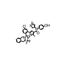 Cc1c(C(=O)N(c2ccc(O)cc2)c2cnn(C)c2)cc(-c2cc(Cl)ccc2C(=O)N2Cc3ccccc3C[C@H]2C(F)(F)F)n1C